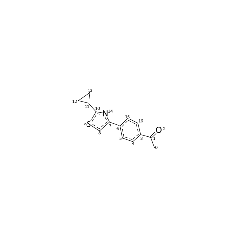 CC(=O)c1ccc(-c2csc(C3CC3)n2)cc1